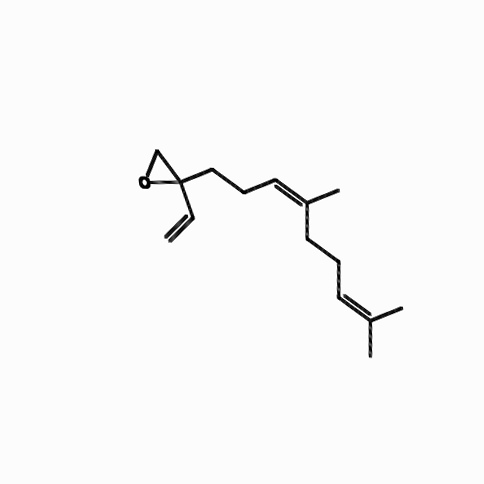 C=CC1(CCC=C(C)CCC=C(C)C)CO1